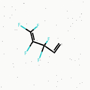 [C]=CC(F)(F)C(F)=C(F)F